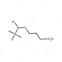 CCN(SCCCC(=O)O)[Si](C)(C)C